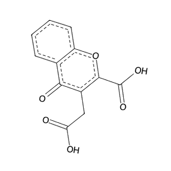 O=C(O)Cc1c(C(=O)O)oc2ccccc2c1=O